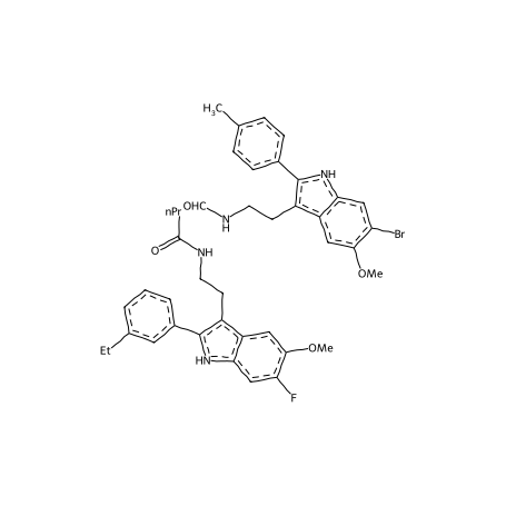 CCCC(=O)NCCc1c(-c2cccc(CC)c2)[nH]c2cc(F)c(OC)cc12.COc1cc2c(CCNC=O)c(-c3ccc(C)cc3)[nH]c2cc1Br